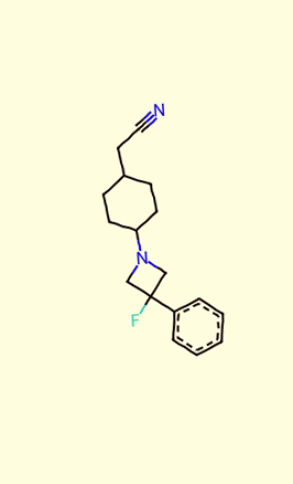 N#CCC1CCC(N2CC(F)(c3ccccc3)C2)CC1